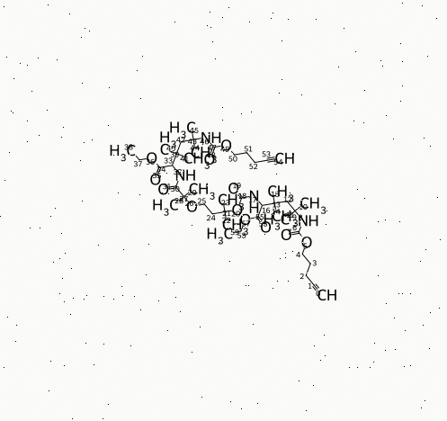 C#CCCCOC(=O)NC(C)(C)CC(C)(C)C(NC(=O)OC(C)(C)CCOC(C)(C)C(=O)NC(C(=O)OCC)C(C)(C)CC(C)(C)NC(=O)OCCCC#C)C(=O)OCC